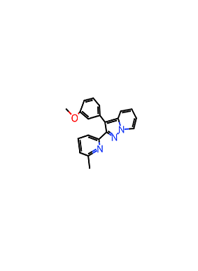 COc1cccc(-c2c(-c3cccc(C)n3)nn3ccccc23)c1